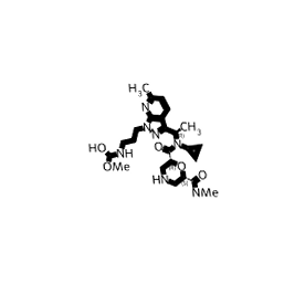 CNC(=O)[C@@H]1CNC[C@H](C(=O)N(C2CC2)[C@H](C)c2nn(CCCNC(O)OC)c3nc(C)ccc23)O1